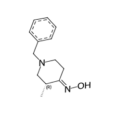 C[C@@H]1CN(Cc2ccccc2)CCC1=NO